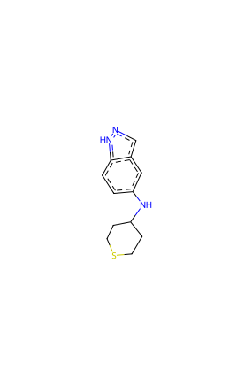 c1cc2[nH]ncc2cc1NC1CCSCC1